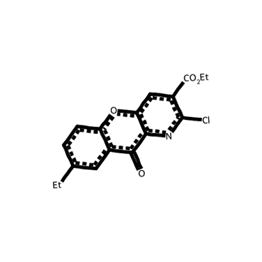 CCOC(=O)c1cc2oc3ccc(CC)cc3c(=O)c2nc1Cl